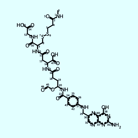 CNC(=O)CCSSCC(NC(=O)CC(NC(=O)CCC(NC(=O)c1ccc(NCc2cnc3nc(N)nc(O)c3n2)cc1)OC=O)C(=O)O)C(=O)NCC(=O)O